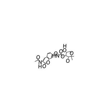 COC1C(OC(=O)NOc2ccc3cc(NC(C)=O)c(=O)oc3c2)C(O)COC1(C)C